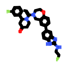 C/C=C(/N1CCOc2ccc(-c3ccc4[nH]c(NCCF)nc4c3)cc2C1)N1CCC(=O)CC1c1cccc(F)c1